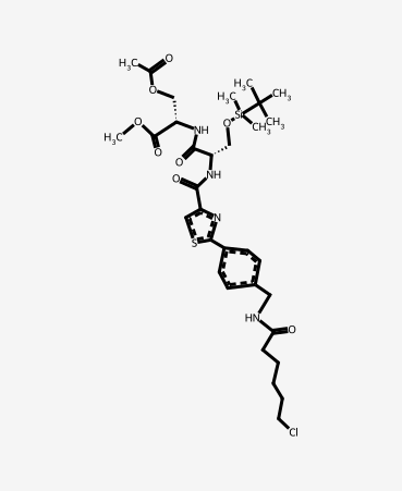 COC(=O)[C@H](COC(C)=O)NC(=O)[C@H](CO[Si](C)(C)C(C)(C)C)NC(=O)c1csc(-c2ccc(CNC(=O)CCCCCCl)cc2)n1